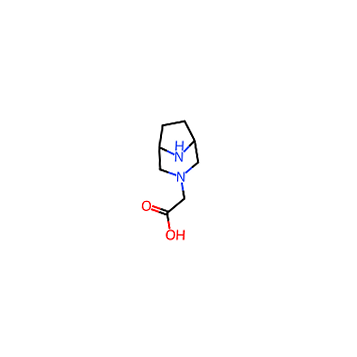 O=C(O)CN1CC2CCC(C1)N2